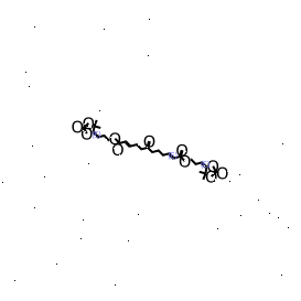 CC1(C)OC(=O)O/C1=C/CCOC(=O)C=CCCC(=O)CCC/C=C/C(=O)OCC/C=C1/OC(=O)OC1(C)C